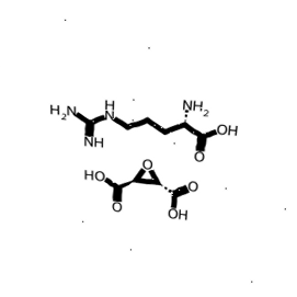 N=C(N)NCCC[C@H](N)C(=O)O.O=C(O)[C@H]1O[C@@H]1C(=O)O